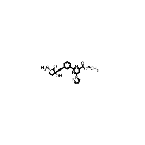 CCOC(=O)c1cc(-n2cccn2)nc(-c2cccc(C#C[C@]3(O)CCN(C)C3=O)c2)n1